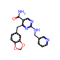 NC(=O)c1cnc(NCc2cccnc2)nc1[CH]c1ccc2c(c1)OCO2